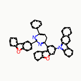 C1=C(c2ccccc2)N=C(c2ccc3oc4ccccc4c3c2)N=C(c2cc(-n3c4ccccc4c4cc5ccccc5cc43)cc3oc4ccccc4c23)C1